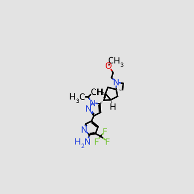 COCCN1CC[C@@]12C[C@@H]1[C@H](C2)[C@H]1c1cc(-c2cnc(N)c(C(F)(F)F)c2)nn1C(C)C